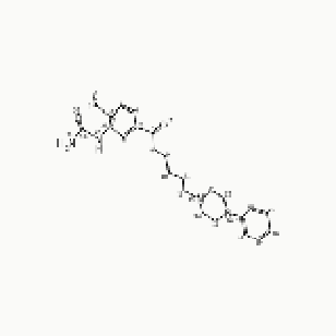 CSc1ccc(C(=O)CCCCCN2CCN(c3ccccc3)CC2)cc1NC(N)=O